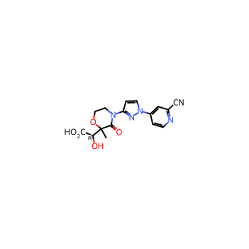 CC1([C@@H](O)C(=O)O)OCCN(c2ccn(-c3ccnc(C#N)c3)n2)C1=O